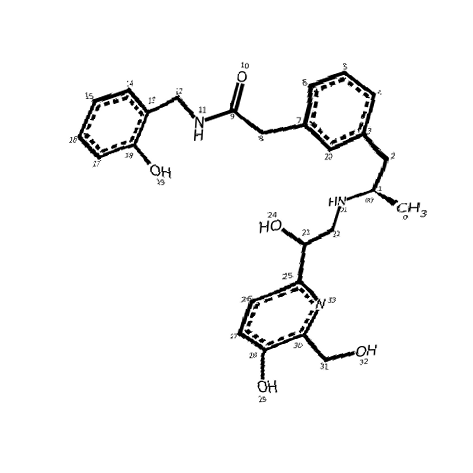 C[C@H](Cc1cccc(CC(=O)NCc2ccccc2O)c1)NCC(O)c1ccc(O)c(CO)n1